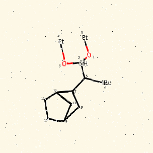 CCO[SiH](OCC)C(C(C)CC)C1CC2CCC1C2